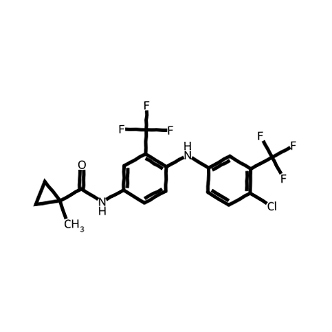 CC1(C(=O)Nc2ccc(Nc3ccc(Cl)c(C(F)(F)F)c3)c(C(F)(F)F)c2)CC1